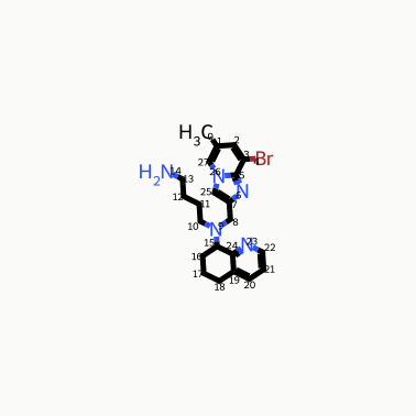 Cc1cc(Br)c2nc(CN(CCCCN)C3CCCc4cccnc43)cn2c1